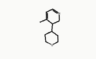 CC1=CC=NCC1C1CCOCC1